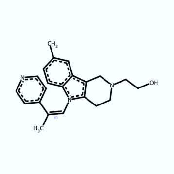 C/C(=C/n1c2c(c3cc(C)ccc31)CN(CCO)CC2)c1ccncc1